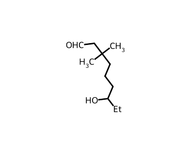 CCC(O)CCCC(C)(C)CC=O